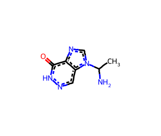 CC(N)n1cnc2c(=O)[nH]ncc21